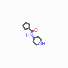 O=C(NC1CCNCC1)C1CCCC1